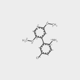 COc1cc(-c2cc(Cl)ccc2N)c(OC)cn1